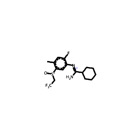 Cc1cc(F)c(/N=C(\N)C2CCCCC2)cc1[S+]([O-])CC(F)(F)F